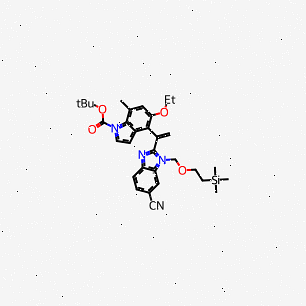 C=C(c1c(OCC)cc(C)c2c1ccn2C(=O)OC(C)(C)C)c1nc2ccc(C#N)cc2n1COCC[Si](C)(C)C